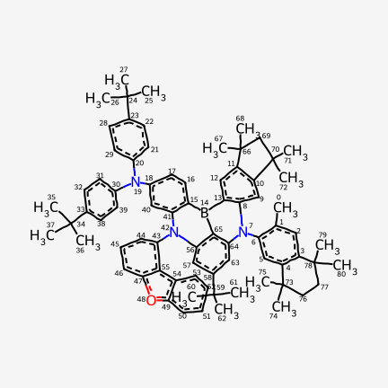 Cc1cc2c(cc1N1c3cc4c(cc3B3c5ccc(N(c6ccc(C(C)(C)C)cc6)c6ccc(C(C)(C)C)cc6)cc5N(c5cccc6oc7ccccc7c56)c5cc(C(C)(C)C)cc1c53)C(C)(C)CC4(C)C)C(C)(C)CCC2(C)C